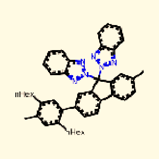 CCCCCCc1cc(-c2ccc3c(c2)C(n2nc4ccccc4n2)(n2nc4ccccc4n2)c2cc(C)ccc2-3)c(CCCCCC)cc1C